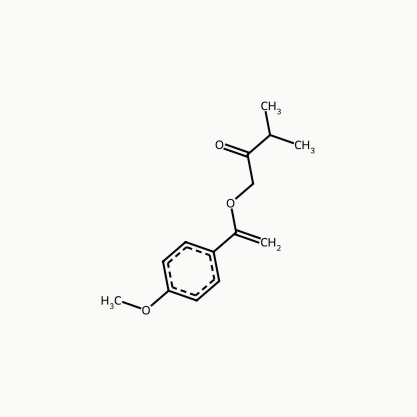 C=C(OCC(=O)C(C)C)c1ccc(OC)cc1